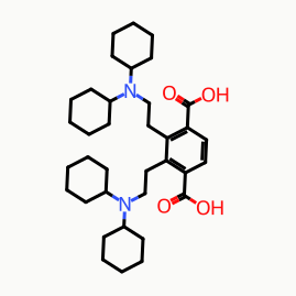 O=C(O)c1ccc(C(=O)O)c(CCN(C2CCCCC2)C2CCCCC2)c1CCN(C1CCCCC1)C1CCCCC1